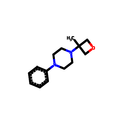 CC1(N2CCN(c3[c]cccc3)CC2)COC1